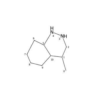 CC1CNNC2CCCCC12